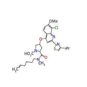 C=CCCCCN(C)C(=O)C1CC(Oc2cc(-c3nc(C(C)C)cs3)nc3c(Cl)c(OC)ccc23)CN1C(=O)O